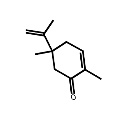 C=C(C)C1(C)CC=C(C)C(=O)C1